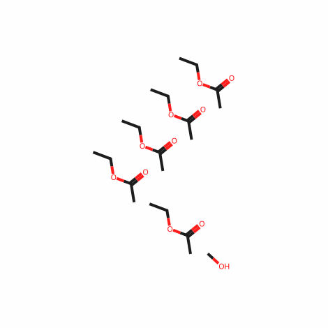 CCOC(C)=O.CCOC(C)=O.CCOC(C)=O.CCOC(C)=O.CCOC(C)=O.CO